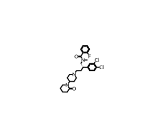 CN(C[C@@H](CCN1CCC(N2CCCCC2=O)CC1)c1ccc(Cl)c(Cl)c1)C(=O)c1ccccc1F